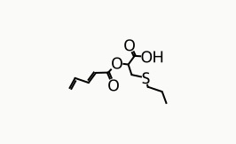 C=CC=CC(=O)OC(CSCCC)C(=O)O